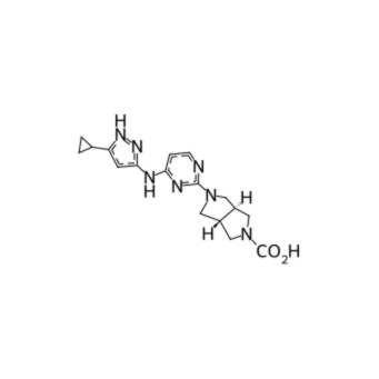 O=C(O)N1C[C@@H]2CN(c3nccc(Nc4cc(C5CC5)[nH]n4)n3)C[C@H]2C1